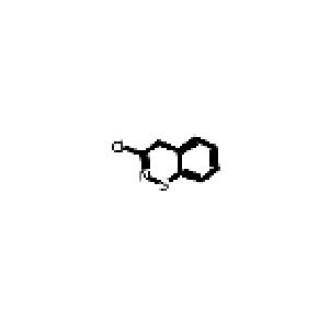 ClC1=NSc2ccccc2C1